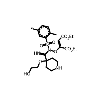 CCOC(=O)C=C(ON(C(=N)C1(OCCO)CCNCC1)S(=O)(=O)c1cc(F)ccc1C)C(=O)OCC